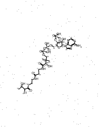 CCC(C(=O)SCCNC(=O)CCNC(=O)[C@H](O)C(C)(C)COP(=O)(O)OP(=O)(O)OC[C@H]1O[C@@H](n2cnc3c(N)ncnc32)[C@H](O)[C@@H]1OP(=O)(O)O)C(C)O